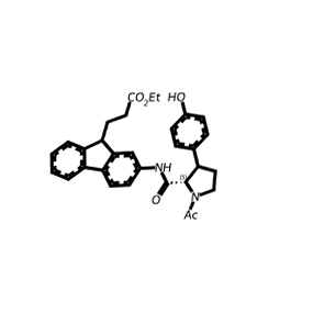 CCOC(=O)CCC1c2ccccc2-c2ccc(NC(=O)[C@@H]3C(c4ccc(O)cc4)CCN3C(C)=O)cc21